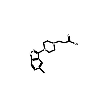 Cc1ccc2onc(N3CCN(CCC(=O)O)CC3)c2c1